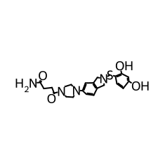 NC(=O)CCC(=O)N1CCN(c2ccc3c(c2)CN(Sc2ccc(O)cc2O)C3)CC1